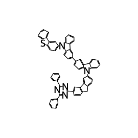 c1ccc(-c2nc(-c3ccccc3)nc(-c3ccc4c(c3)-c3cc(-n5c6ccccc6c6cc(-c7ccc8c(c7)c7ccccc7n8-c7ccc8sc9ccccc9c8c7)ccc65)ccc3C4)n2)cc1